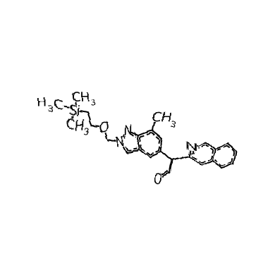 Cc1cc(C(C=O)c2cc3ccccc3cn2)cc2cn(COCC[Si](C)(C)C)nc12